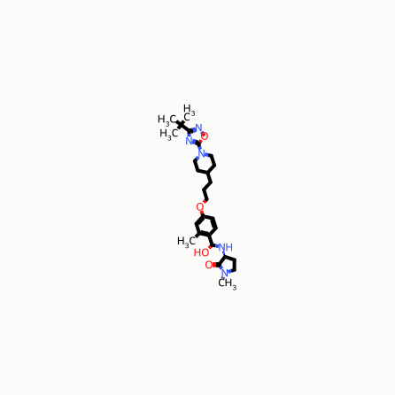 Cc1cc(OCCCC2CCN(c3nc(C(C)(C)C)no3)CC2)ccc1C(O)N[C@H]1CCN(C)C1=O